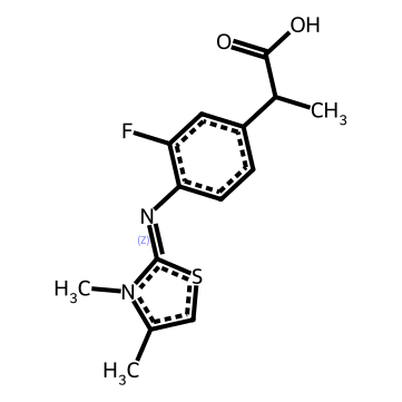 Cc1cs/c(=N\c2ccc(C(C)C(=O)O)cc2F)n1C